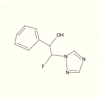 OC(c1ccccc1)C(F)n1cncn1